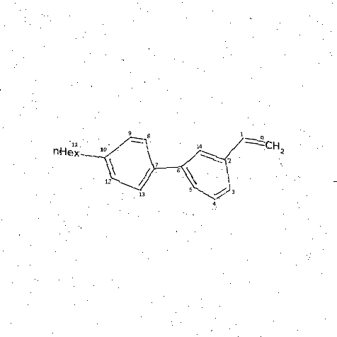 C=Cc1cccc(-c2ccc(CCCCCC)cc2)c1